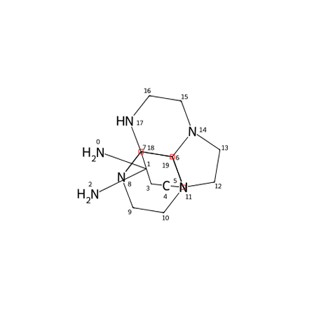 NC1(N)CCN2CCN3CCN4CCN5CCNC31C542